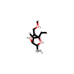 BC1OC2(CC)C(COC)OC1C2C